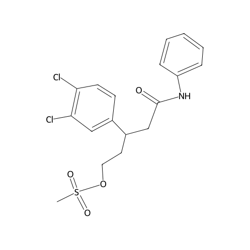 CS(=O)(=O)OCCC(CC(=O)Nc1ccccc1)c1ccc(Cl)c(Cl)c1